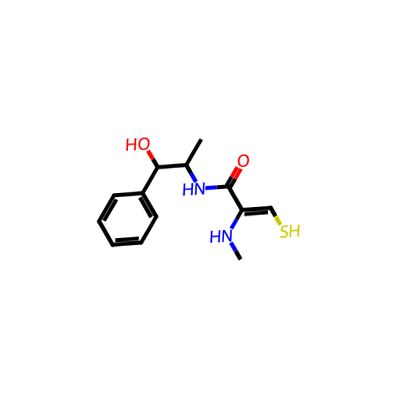 CN/C(=C\S)C(=O)NC(C)C(O)c1ccccc1